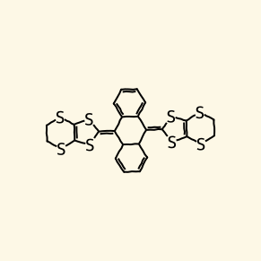 C1=CC2C(=C3SC4=C(SCCS4)S3)c3ccccc3C(=C3SC4=C(SCCS4)S3)C2C=C1